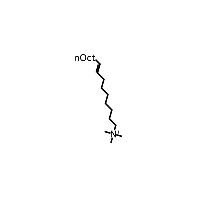 CCCCCCCCC=CCCCCCCC[N+](C)(C)C